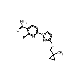 NC(=O)c1ccc(-n2ccc(OCC3(C(F)(F)F)CC3)n2)nc1F